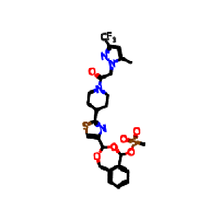 Cc1cc(C(F)(F)F)nn1CC(=O)N1CCC(c2nc(C3OCc4ccccc4C(OS(C)(=O)=O)O3)cs2)CC1